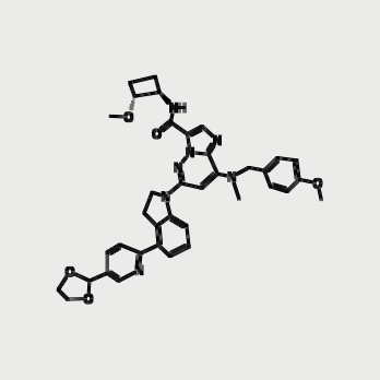 COc1ccc(CN(C)c2cc(N3CCc4c(-c5ccc(C6OCCO6)cn5)cccc43)nn3c(C(=O)N[C@@H]4CC[C@H]4OC)cnc23)cc1